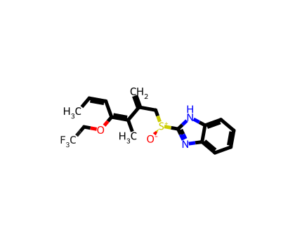 C=C(C[S@+]([O-])c1nc2ccccc2[nH]1)/C(C)=C(\C=C/C)OCC(F)(F)F